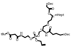 C=CCOP(=O)(OCCNC(=O)CC(=O)OC(C)(C)C)OC[C@@H](COCC[C@@H](CCCCCCC)OC(=O)CCCCCCCCCCC)NC(=O)CCCCCCCCCCCCC